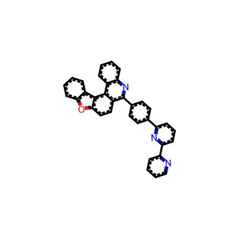 c1ccc(-c2cccc(-c3ccc(-c4nc5ccccc5c5c4ccc4oc6ccccc6c45)cc3)n2)nc1